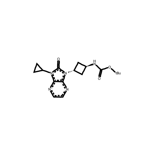 CC(C)(C)OC(=O)N[C@H]1C[C@H](n2c(=O)n(C3CC3)c3nccnc32)C1